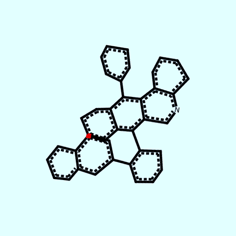 c1ccc(-c2c3ccccc3c(-c3ccccc3-c3ccc4ccccc4c3)c3cnc4ccccc4c23)cc1